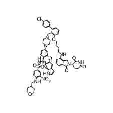 O=C1CCC(N2Cc3c(NCCCCOc4cccc(-c5ccc(Cl)cc5)c4CN4CCN(c5ccc(C(=O)NS(=O)(=O)c6ccc(NCC7CCOCC7)c([N+](=O)[O-])c6)c(Oc6cnc7[nH]ccc7c6)c5)CC4)cccc3C2=O)C(=O)N1